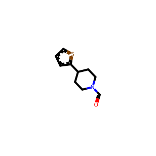 O=CN1CCC(c2cccs2)CC1